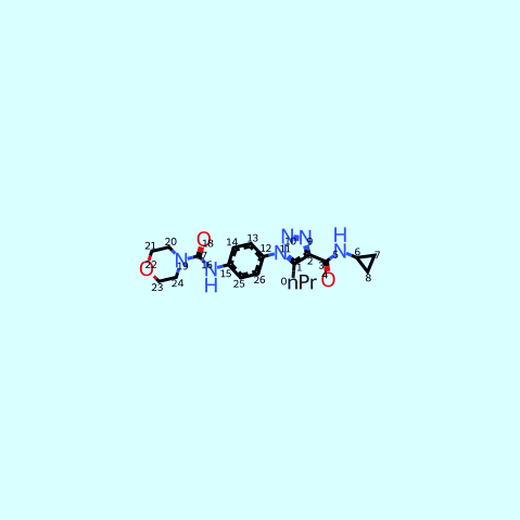 CCCc1c(C(=O)NC2CC2)nnn1-c1ccc(NC(=O)N2CCOCC2)cc1